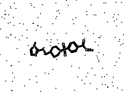 COC(=O)c1ccc(S(=O)(=O)N2CCC(CSc3nccn3C)CC2)cc1